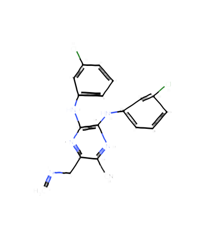 C=NCc1nc(Nc2cccc(Cl)c2)c(Nc2cccc(Cl)c2)nc1C#N